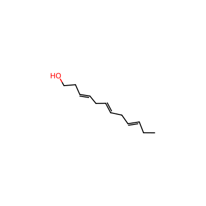 CCC=CCC=CCC=CCCO